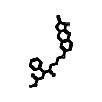 COC(=O)CN(C(=O)CCCOc1ccc2c(c1)CN1CC(=O)NC1=N2)c1ccccc1